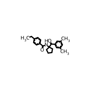 CCc1ccc(C(=O)NC2(C(=O)c3cc(C)cc(C)c3)CCCC2)cc1